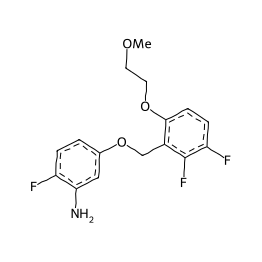 COCCOc1ccc(F)c(F)c1COc1ccc(F)c(N)c1